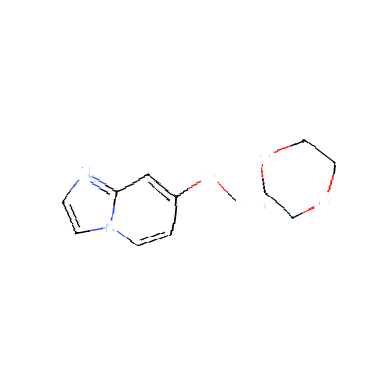 c1cn2ccc(OC[C@H]3COCCO3)cc2n1